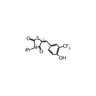 CC(C)N1C(=O)S/C(=C/c2ccc(O)c(C(F)(F)F)c2)C1=O